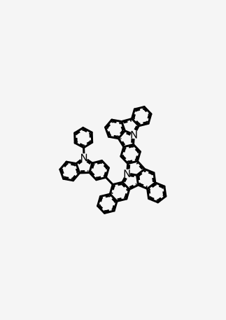 c1ccc(-n2c3ccccc3c3cc(-c4c5ccccc5cc5c6c7ccccc7cc7c8cc9c(cc8n(c45)c76)c4cccc5c6ccccc6n9c54)ccc32)cc1